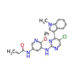 C=CC(=O)Nc1cnc(OC(C)C)c(Nc2ncc(Cl)c(-c3cn(C)c4ccccc34)n2)c1